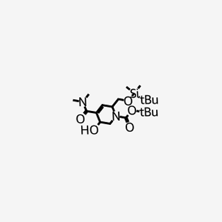 CN(C)C(=O)C1=CC(CO[Si](C)(C)C(C)(C)C)N(C(=O)OC(C)(C)C)CC1O